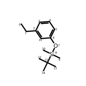 CCc1cccc(O[Si](C)(C)C(C)(C)C)c1